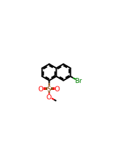 COS(=O)(=O)c1cccc2ccc(Br)cc12